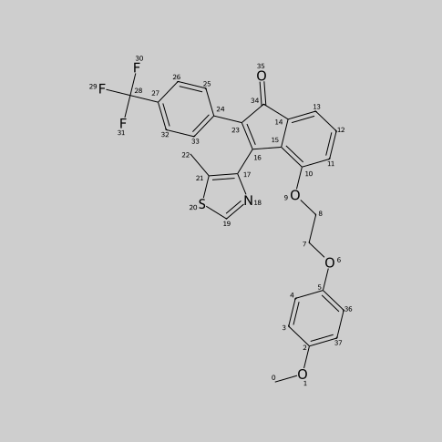 COc1ccc(OCCOc2cccc3c2C(c2ncsc2C)=C(c2ccc(C(F)(F)F)cc2)C3=O)cc1